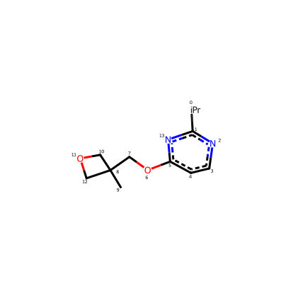 CC(C)c1nccc(OCC2(C)COC2)n1